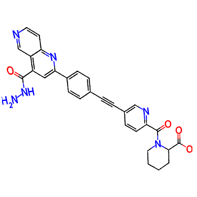 NNC(=O)c1cc(-c2ccc(C#Cc3ccc(C(=O)N4CCCCC4C(=O)O)nc3)cc2)nc2ccncc12